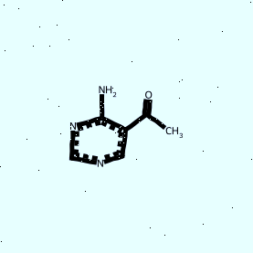 CC(=O)c1cncnc1N